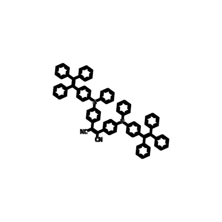 N#CC(=C(C#N)c1ccc(N(c2ccccc2)c2ccc(C(=C(c3ccccc3)c3ccccc3)c3ccccc3)cc2)cc1)c1ccc(N(c2ccccc2)c2ccc(C(=C(c3ccccc3)c3ccccc3)c3ccccc3)cc2)cc1